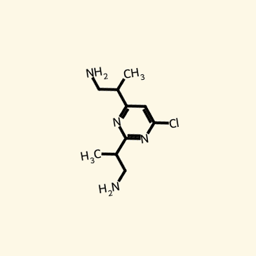 CC(CN)c1cc(Cl)nc(C(C)CN)n1